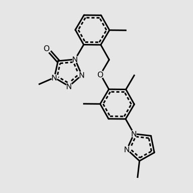 Cc1ccn(-c2cc(C)c(OCc3c(C)cccc3-n3nnn(C)c3=O)c(C)c2)n1